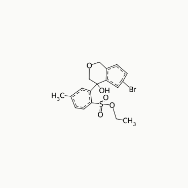 CCOS(=O)(=O)c1ccc(C)cc1C1(O)COCc2ccc(Br)cc21